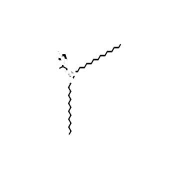 CCCCCCCCCCCCCCOP(=O)(NCC(C)[n+]1ccn(C)c1)OCCCCCCCCCCCCCC